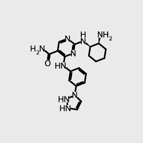 NC(=O)c1cnc(N[C@@H]2CCCC[C@@H]2N)nc1Nc1cccc(N2C=CNN2)c1